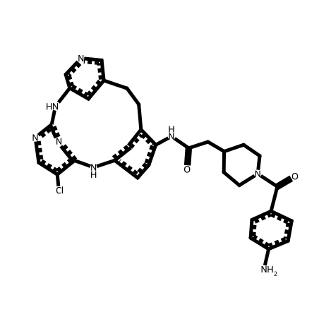 Nc1ccc(C(=O)N2CCC(CC(=O)Nc3ccc4cc3CCc3cncc(c3)Nc3ncc(Cl)c(n3)N4)CC2)cc1